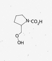 O=C(O)N1CCCC1COO